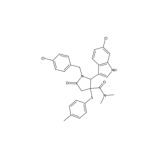 Cc1ccc(SC2(C(=O)N(C)C)CC(=O)N(Cc3ccc(Cl)cc3)C2c2c[nH]c3cc(Cl)ccc23)cc1